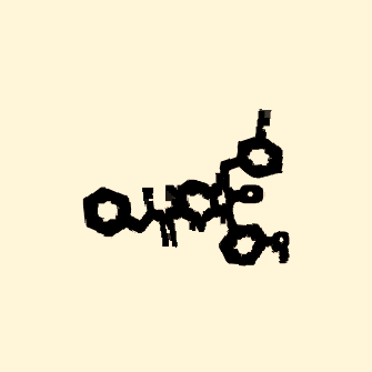 COc1cccc(-n2c(=O)n(Cc3cccc(F)c3)c3cnc(NC(F)Cc4ccccc4)nc32)c1